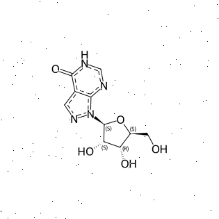 O=c1[nH]cnc2c1cnn2[C@H]1O[C@@H](CO)[C@H](O)[C@@H]1O